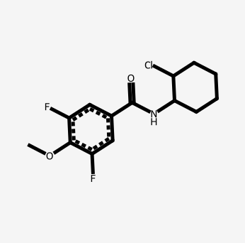 COc1c(F)cc(C(=O)NC2CCCCC2Cl)cc1F